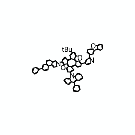 CC(C)(C)c1cc2oc3c(-c4ccnc(-c5ccc6oc7ccccc7c6c5)c4)ccc4c5cc(N6c7ccccc7C(c7ccccc7)=C7C=CC=CC76)cc6oc7c(N8C=c9ccc%10cc(-c%11ccccc%11)ccc%10c9=CC8)ccc(c(c1)c2c34)c7c65